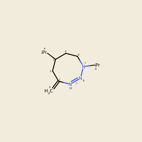 C=C1CC(C(C)C)CCN(C(C)C)/N=N\1